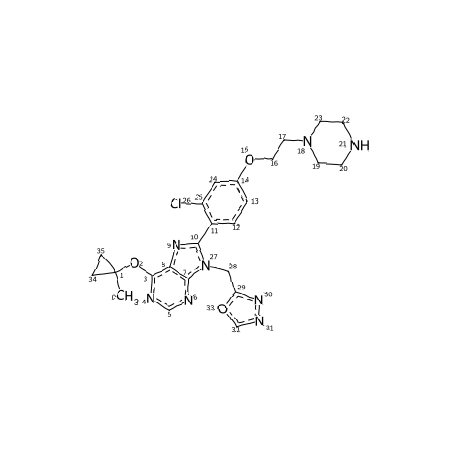 CC1(Oc2ncnc3c2nc(-c2ccc(OCCN4CCNCC4)cc2Cl)n3Cc2nnco2)CC1